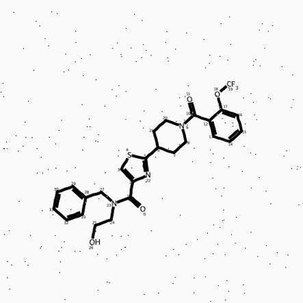 O=C(c1csc(C2CCN(C(=O)c3ccccc3OC(F)(F)F)CC2)n1)N(CCO)Cc1ccccc1